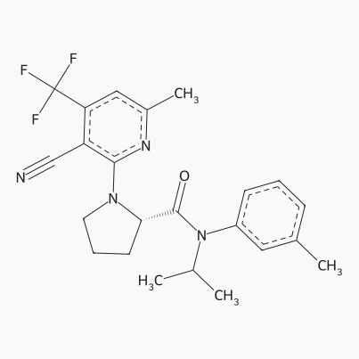 Cc1cccc(N(C(=O)[C@@H]2CCCN2c2nc(C)cc(C(F)(F)F)c2C#N)C(C)C)c1